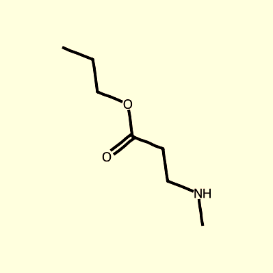 CCCOC(=O)CCNC